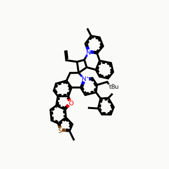 C=CC1C2C(c3ccccc3-c3ccc(C)c[n+]32)C12Cc1ccc3c(oc4c5cc(C)sc5ccc34)c1-c1cc(-c3c(C)cccc3C)c(CC(C)(C)C)c[n+]12